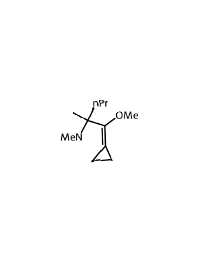 CCCC(C)(NC)C(OC)=C1CC1